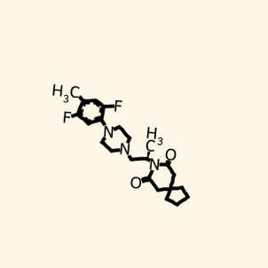 Cc1cc(F)c(N2CCN(C[C@@H](C)N3C(=O)CC4(CCCC4)CC3=O)CC2)cc1F